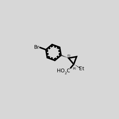 CC[C@@]1(C(=O)O)C[C@H]1c1ccc(Br)cc1